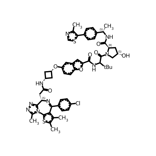 Cc1ncsc1-c1ccc([C@H](C)NC(=O)[C@H]2C[C@H](O)CN2C(=O)C(NC(=O)c2cc3cc(O[C@H]4C[C@@H](NC(=O)C[C@@H]5N=C(c6ccc(Cl)cc6)c6c(sc(C)c6C)-n6c(C)nnc65)C4)ccc3o2)C(C)(C)C)cc1